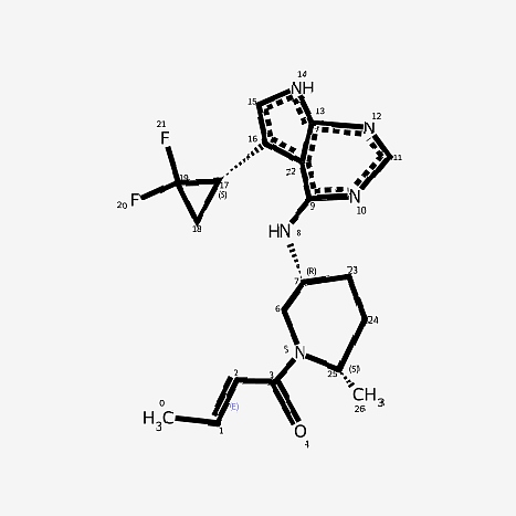 C/C=C/C(=O)N1C[C@H](Nc2ncnc3[nH]cc([C@@H]4CC4(F)F)c23)CC[C@@H]1C